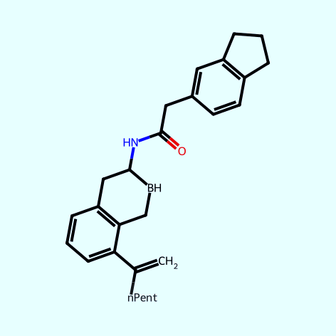 C=C(CCCCC)c1cccc2c1CBC(NC(=O)Cc1ccc3c(c1)CCC3)C2